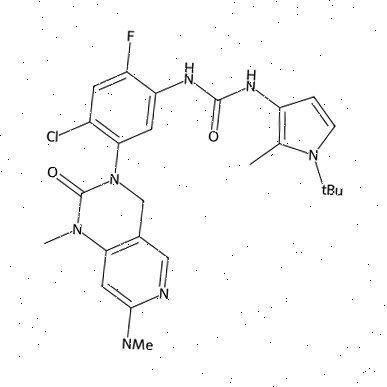 CNc1cc2c(cn1)CN(c1cc(NC(=O)Nc3ccn(C(C)(C)C)c3C)c(F)cc1Cl)C(=O)N2C